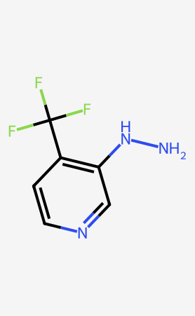 NNc1cnccc1C(F)(F)F